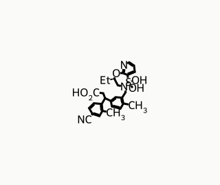 CC[C@@H]1CN(Cc2cc(C(CC(=O)O)c3ccc(C#N)cc3C)ccc2C)S(O)(O)c2cccnc2O1